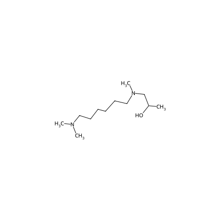 CC(O)CN(C)CCCCCCN(C)C